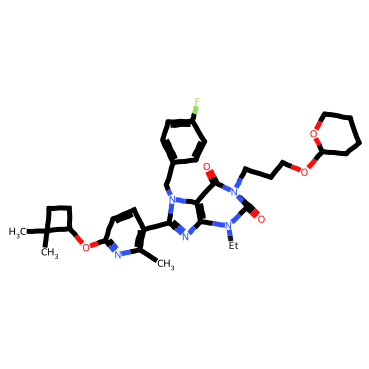 CCn1c(=O)n(CCCOC2CCCCO2)c(=O)c2c1nc(-c1ccc(OC3CCC3(C)C)nc1C)n2Cc1ccc(F)cc1